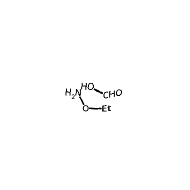 CCON.O=CO